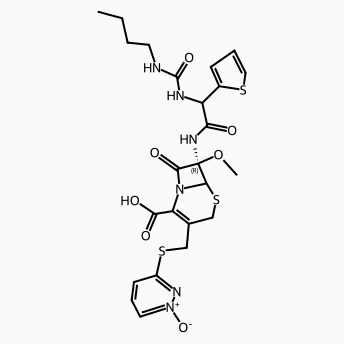 CCCCNC(=O)NC(C(=O)N[C@@]1(OC)C(=O)N2C(C(=O)O)=C(CSc3ccc[n+]([O-])n3)CSC21)c1cccs1